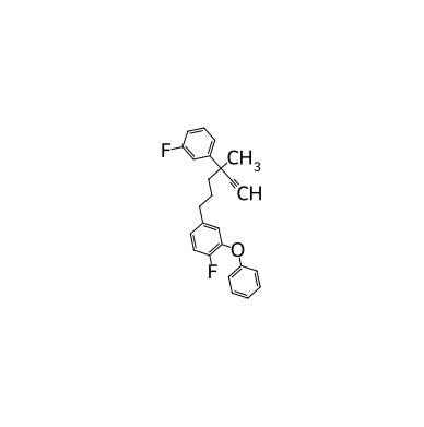 C#CC(C)(CCCc1ccc(F)c(Oc2ccccc2)c1)c1cccc(F)c1